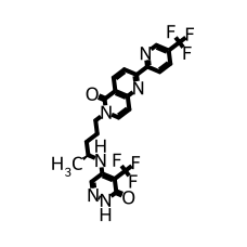 C[C@@H](CCCn1ccc2nc(-c3ccc(C(F)(F)F)cn3)ccc2c1=O)Nc1cn[nH]c(=O)c1C(F)(F)F